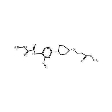 COC(=O)CCO[C@H]1CC[C@H](c2ccc(NC(=O)C(=O)NN)c(N=O)c2)CC1